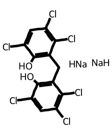 Oc1c(Cl)cc(Cl)c(Cl)c1Cc1c(O)c(Cl)cc(Cl)c1Cl.[NaH].[NaH]